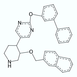 c1ccc(-c2cccc(Oc3ncc(C4CCNCC4OCc4ccc5ccccc5c4)cn3)c2)cc1